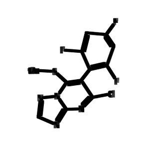 CC(C)(C)Sc1c(-c2c(F)cc(F)cc2F)c(Cl)nc2ncnn12